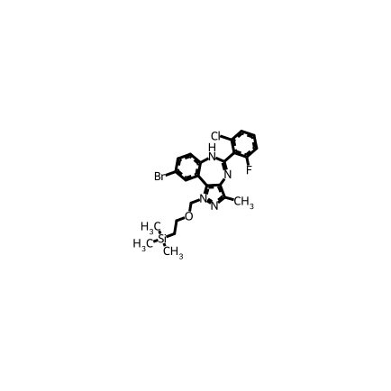 Cc1nn(COCC[Si](C)(C)C)c2c1N=C(c1c(F)cccc1Cl)Nc1ccc(Br)cc1-2